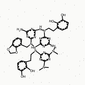 CN(C)c1nc(N(C)C)nc(N(CCc2cccc(O)c2O)Nc2nc(N)nc(N(CCc3cccc(O)c3O)Nc3nc(N)nc(N(C)Cc4cccc5c4OCO5)n3)n2)n1